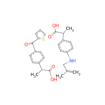 C=C(C)CNc1ccc(C(C)C(=O)O)cc1.CC(C(=O)O)c1ccc(C(=O)c2cccs2)cc1